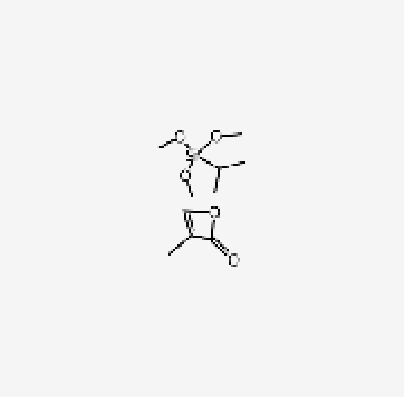 CC1=COC1=O.CO[Si](OC)(OC)C(C)C